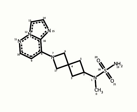 CN(C1CC2(C1)CN(c1ccnn3ccnc13)C2)S(N)(=O)=O